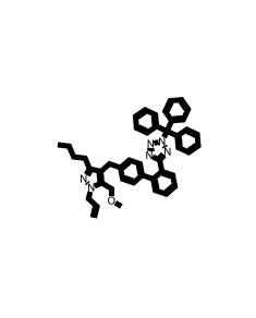 C=CCn1nc(CCCC)c(Cc2ccc(-c3ccccc3-c3nnn(C(c4ccccc4)(c4ccccc4)c4ccccc4)n3)cc2)c1COC